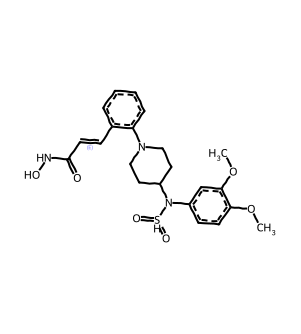 COc1ccc(N(C2CCN(c3ccccc3/C=C/C(=O)NO)CC2)[SH](=O)=O)cc1OC